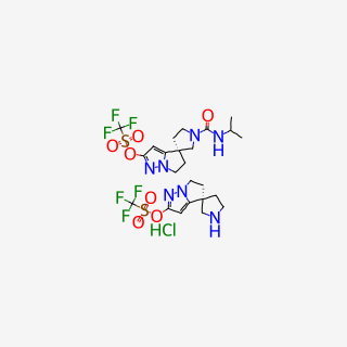 CC(C)NC(=O)N1CC[C@@]2(CCn3nc(OS(=O)(=O)C(F)(F)F)cc32)C1.Cl.O=S(=O)(Oc1cc2n(n1)CC[C@@]21CCNC1)C(F)(F)F